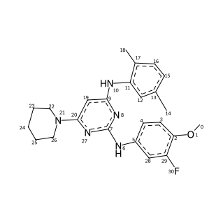 COc1ccc(Nc2nc(Nc3cc(C)ccc3C)cc(N3CCCCC3)n2)cc1F